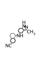 Cc1n[nH]c2ccc(NC3CCCc4cc(C#N)ccc43)cc12